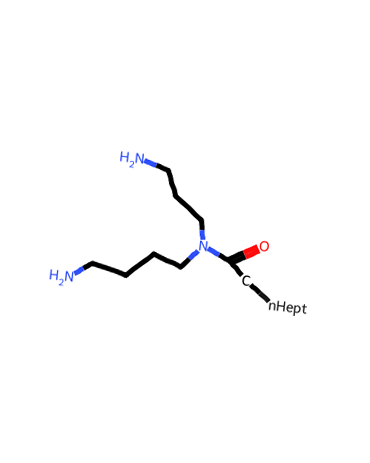 CCCCCCCCC(=O)N(CCCN)CCCCN